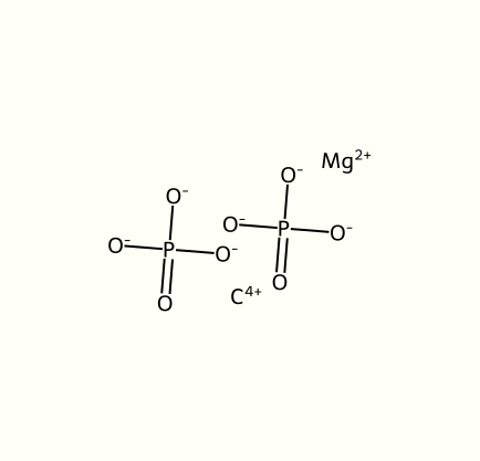 O=P([O-])([O-])[O-].O=P([O-])([O-])[O-].[C+4].[Mg+2]